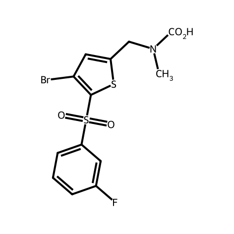 CN(Cc1cc(Br)c(S(=O)(=O)c2cccc(F)c2)s1)C(=O)O